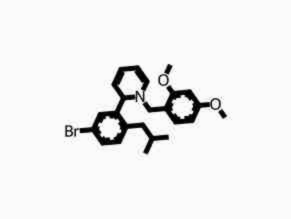 COc1ccc(CN2C=CC=CC2c2cc(Br)ccc2CC(C)C)c(OC)c1